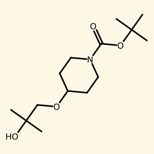 CC(C)(O)COC1CCN(C(=O)OC(C)(C)C)CC1